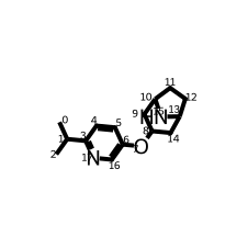 CC(C)c1ccc(OC2CC3CCC(C2)N3)cn1